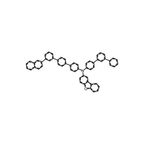 c1ccc(-c2cccc(-c3ccc(N(c4ccc(-c5ccc(-c6cccc(-c7ccc8ccccc8c7)c6)cc5)cc4)c4ccc5oc6ccccc6c5c4)cc3)c2)cc1